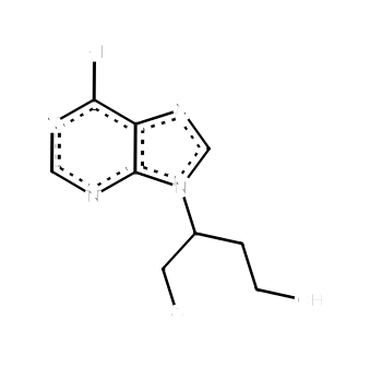 OCCC(CO)n1cnc2c(Cl)ncnc21